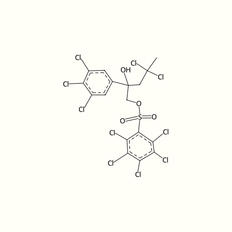 CC(Cl)(Cl)CC(O)(COS(=O)(=O)c1c(Cl)c(Cl)c(Cl)c(Cl)c1Cl)c1cc(Cl)c(Cl)c(Cl)c1